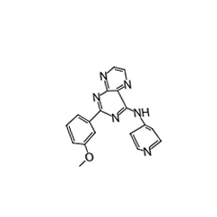 COc1cccc(-c2nc(Nc3ccncc3)c3nccnc3n2)c1